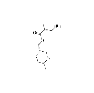 CC1CCC(COC(=O)C(C)CC(C)(C)C)CO1